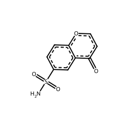 NS(=O)(=O)c1ccc2occc(=O)c2c1